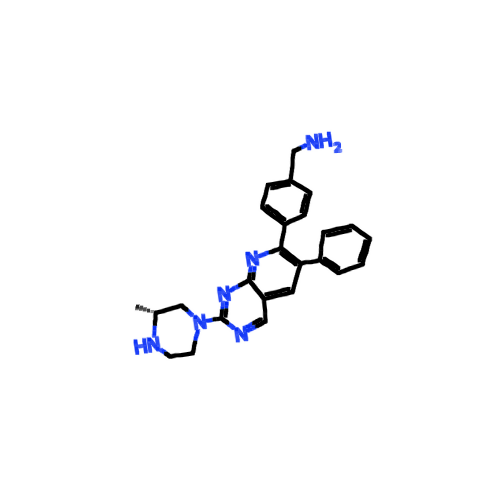 C[C@@H]1CN(c2ncc3cc(-c4ccccc4)c(-c4ccc(CN)cc4)nc3n2)CCN1